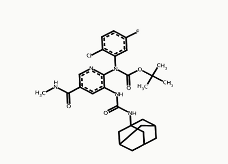 CNC(=O)c1cnc(N(C(=O)OC(C)(C)C)c2cc(F)ccc2Cl)c(NC(=O)NC23CC4CC(CC(C4)C2)C3)c1